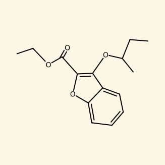 CCOC(=O)c1oc2ccccc2c1OC(C)CC